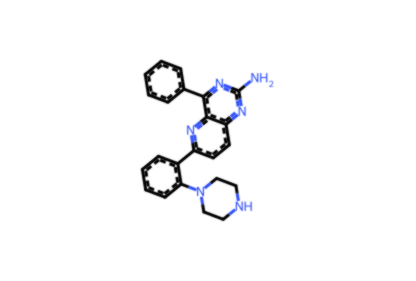 Nc1nc(-c2ccccc2)c2nc(-c3ccccc3N3CCNCC3)ccc2n1